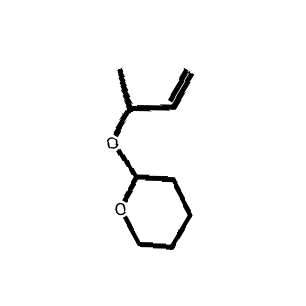 C=CC(C)OC1CCCCO1